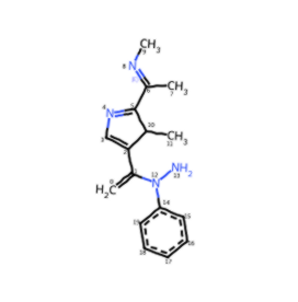 C=C(C1=CN=C(/C(C)=N/C)C1C)N(N)c1ccccc1